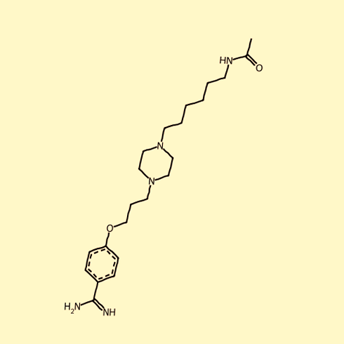 CC(=O)NCCCCCCN1CCN(CCCOc2ccc(C(=N)N)cc2)CC1